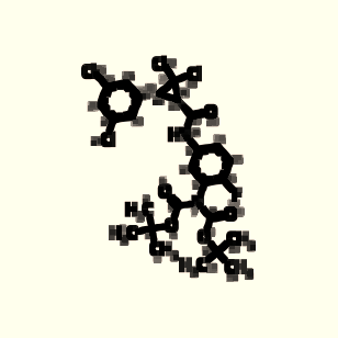 CC(C)(C)OC(=O)N(C(=O)OC(C)(C)C)c1cc(NC(=O)[C@H]2[C@H](c3cc(Cl)cc(Cl)c3)C2(Cl)Cl)ccc1F